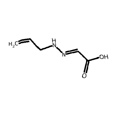 C=CCNN=CC(=O)O